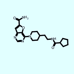 NC(=O)c1cc2ncnc(N3CCC(CCNC(=O)C4CCCC4)CC3)c2o1